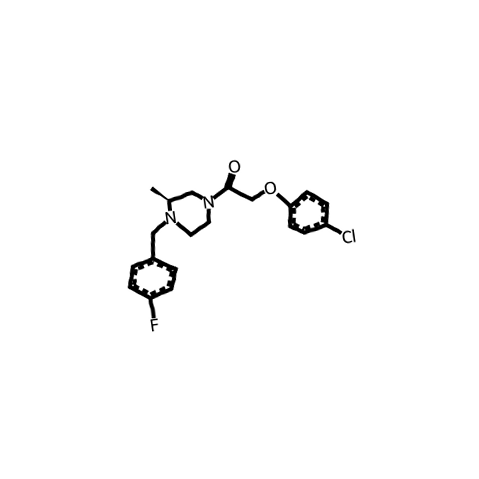 C[C@H]1CN(C(=O)COc2ccc(Cl)cc2)CCN1Cc1ccc(F)cc1